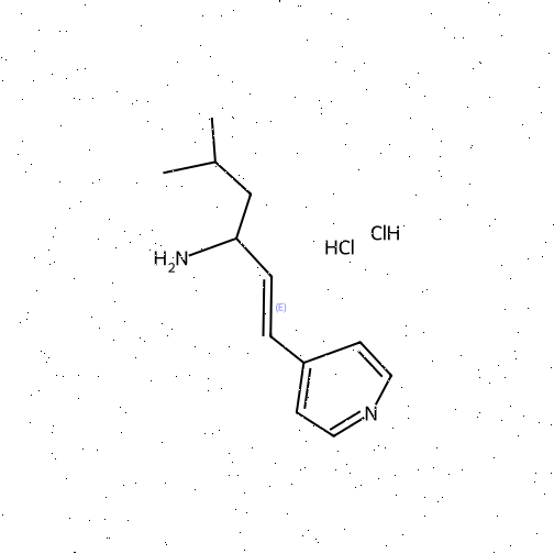 CC(C)CC(N)/C=C/c1ccncc1.Cl.Cl